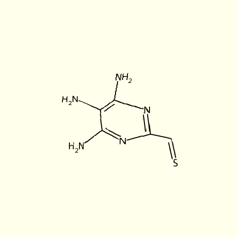 Nc1nc(C=S)nc(N)c1N